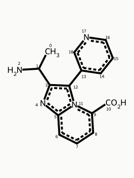 CC(N)c1nc2cccc(C(=O)O)n2c1-c1cccnc1